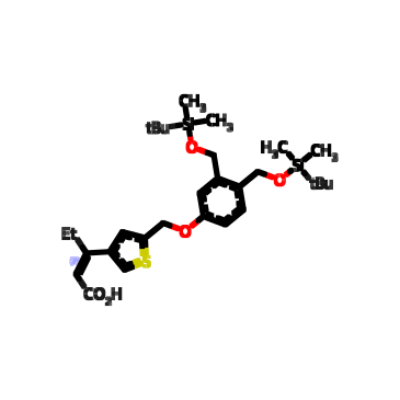 CC/C(=C/C(=O)O)c1csc(COc2ccc(CO[Si](C)(C)C(C)(C)C)c(CO[Si](C)(C)C(C)(C)C)c2)c1